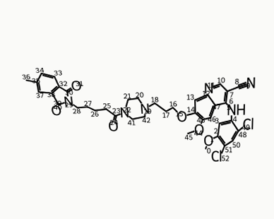 COc1cc(Nc2c(C#N)cnc3cc(OCCCN4CCN(C(=O)CCCCN5C(=O)c6ccc(C)cc6C5=O)CC4)c(OC)cc23)c(Cl)cc1Cl